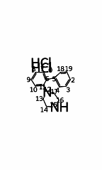 Cl.Cl.c1ccc(-c2ccccc2N2CCNCC2)cc1